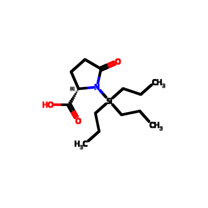 CCC[Si](CCC)(CCC)N1C(=O)CC[C@H]1C(=O)O